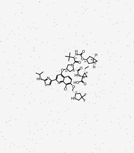 CC[C@@H]1C[C@]1(NC(=O)[C@@H]1C[C@@H](Oc2cc(-c3csc(NC(C)C)n3)nc3c(Cl)c(OC[C@@H]4CC(F)(F)CN4)ccc23)CN1C(=O)[C@@H](NC(=O)O[C@@H]1C[C@@H]2C[C@@H]2C1)C(C)(C)C)C(=O)O